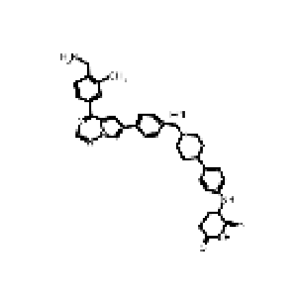 Cc1cc(-c2ncnn3cc(-c4ccc(CN5CCC(c6ccc(NC7CCC(=O)NC7=O)cc6)CC5)cc4)cc23)ccc1CN.Cl